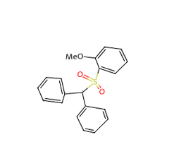 COc1ccccc1S(=O)(=O)[C](c1ccccc1)c1ccccc1